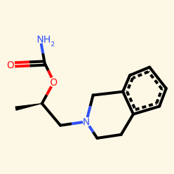 C[C@H](CN1CCc2ccccc2C1)OC(N)=O